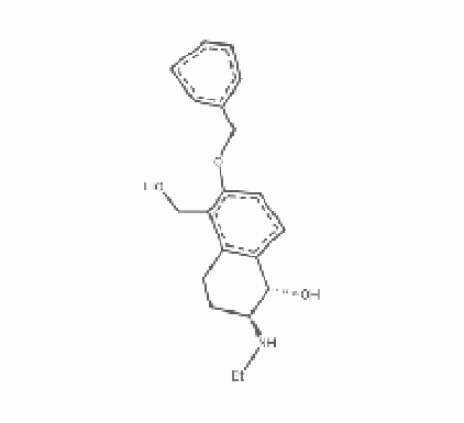 CCN[C@H]1CCc2c(ccc(OCc3ccccc3)c2CO)[C@@H]1O